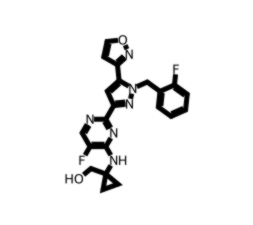 OCC1(Nc2nc(-c3cc(-c4ccon4)n(Cc4ccccc4F)n3)ncc2F)CC1